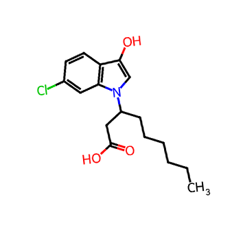 CCCCCCC(CC(=O)O)n1cc(O)c2ccc(Cl)cc21